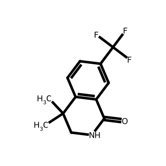 CC1(C)CNC(=O)c2cc(C(F)(F)F)ccc21